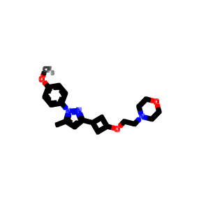 Cc1cc(C2CC(OCCN3CCOCC3)C2)nn1-c1ccc(OC(F)(F)F)cc1